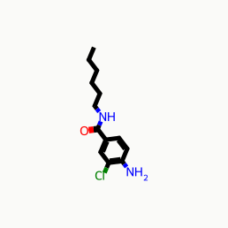 CCCCCCNC(=O)c1ccc(N)c(Cl)c1